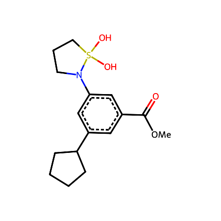 COC(=O)c1cc(C2CCCC2)cc(N2CCCS2(O)O)c1